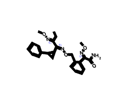 CCC(=N\OC)/C(=N/OCc1ccccc1/C(=N/OC)C(N)=O)C1CC1c1ccccc1